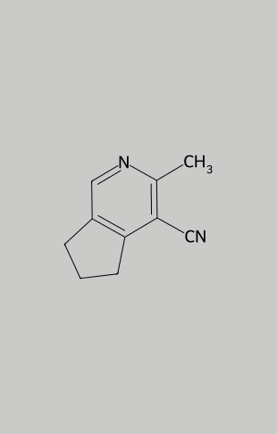 Cc1ncc2c(c1C#N)CCC2